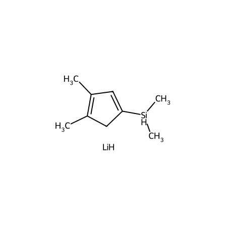 CC1=C(C)CC([SiH](C)C)=C1.[LiH]